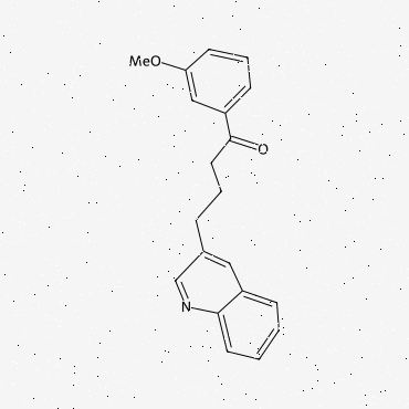 COc1cccc(C(=O)CCCc2cnc3ccccc3c2)c1